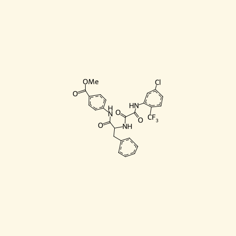 COC(=O)c1ccc(NC(=O)C(Cc2ccccc2)NC(=O)C(=O)Nc2cc(Cl)ccc2C(F)(F)F)cc1